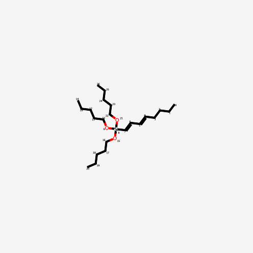 CCCCC=CC=C[Si](OCCCCC)(OCCCCC)OCCCCC